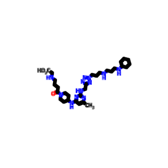 Cc1cc(NC2CCN(C(=O)CCCNCC(=O)O)CC2)nc(NCc2nnn(CCCNCCCNC3CCCCC3)n2)n1